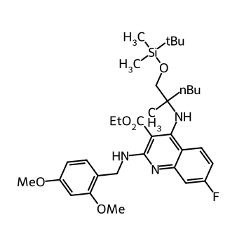 CCCCC(C)(CO[Si](C)(C)C(C)(C)C)Nc1c(C(=O)OCC)c(NCc2ccc(OC)cc2OC)nc2cc(F)ccc12